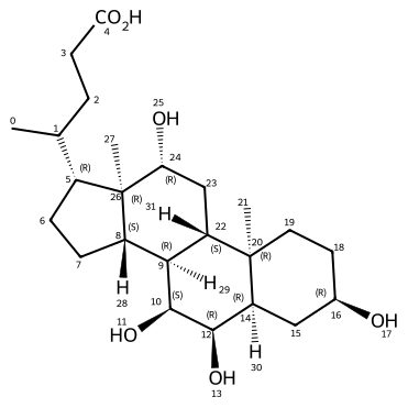 CC(CCC(=O)O)[C@H]1CC[C@H]2[C@@H]3[C@H](O)[C@H](O)[C@@H]4C[C@H](O)CC[C@]4(C)[C@H]3C[C@@H](O)[C@]12C